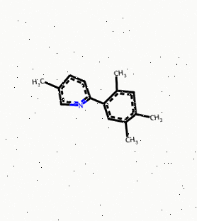 Cc1ccc(-c2cc(C)c(C)cc2C)nc1